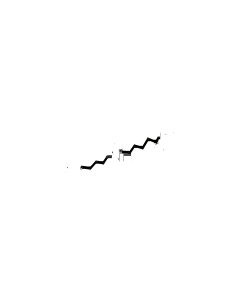 CC(=O)CCCCCNC(=O)CCCCC(=O)C(C)C